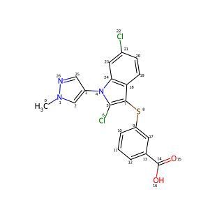 Cn1cc(-n2c(Cl)c(Sc3cccc(C(=O)O)c3)c3ccc(Cl)cc32)cn1